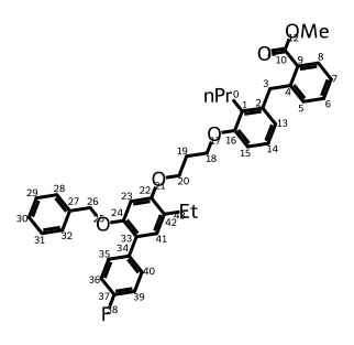 CCCc1c(Cc2ccccc2C(=O)OC)cccc1OCCCOc1cc(OCc2ccccc2)c(-c2ccc(F)cc2)cc1CC